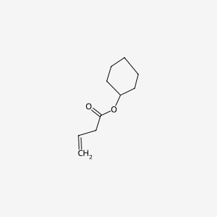 C=CCC(=O)OC1CCCCC1